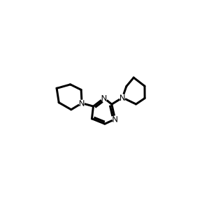 c1cc(N2CCCCC2)nc(N2CCCCC2)n1